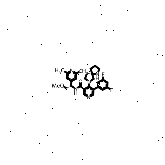 COC[C@@H](NC(=O)c1cncc(-c2cc(F)cc(F)c2)c1N1CC[C@@]2(CCCN2)C1)c1cc(C)nc(C)c1